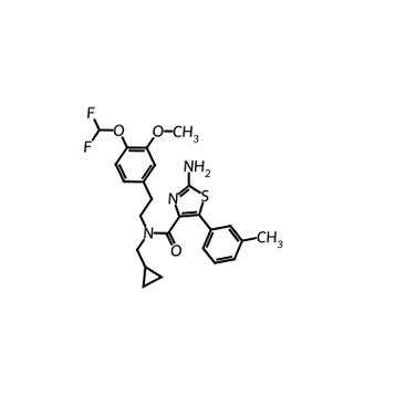 COc1cc(CCN(CC2CC2)C(=O)c2nc(N)sc2-c2cccc(C)c2)ccc1OC(F)F